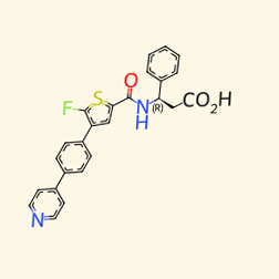 O=C(O)C[C@@H](NC(=O)c1cc(-c2ccc(-c3ccncc3)cc2)c(F)s1)c1ccccc1